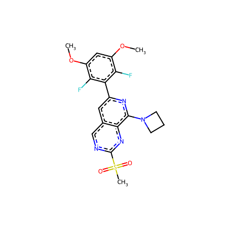 COc1cc(OC)c(F)c(-c2cc3cnc(S(C)(=O)=O)nc3c(N3CCC3)n2)c1F